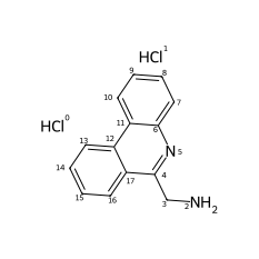 Cl.Cl.NCc1nc2ccccc2c2ccccc12